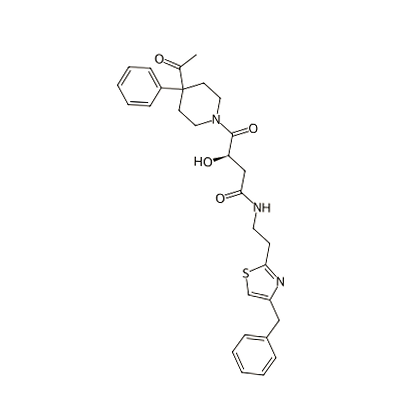 CC(=O)C1(c2ccccc2)CCN(C(=O)[C@H](O)CC(=O)NCCc2nc(Cc3ccccc3)cs2)CC1